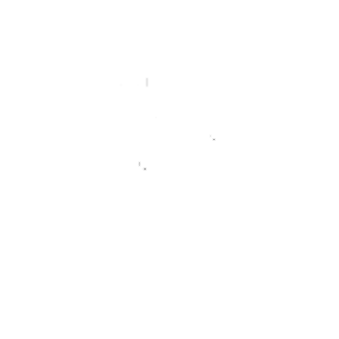 Nc1c(-c2ccccc2)cc(-c2ccccc2)nc1SC(C(=O)O)c1ccccc1